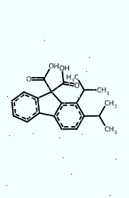 CC(C)c1ccc2c(c1C(C)C)C(C(=O)O)(C(=O)O)c1ccccc1-2